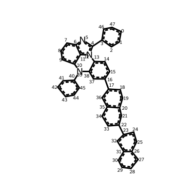 c1ccc(-c2nc3cccc4c3n2-c2ccc(-c3ccc5cc(-c6ccc7ccccc7c6)ccc5c3)cc2N4c2ccccc2)cc1